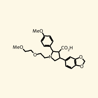 COCCOCCN1CC(c2ccc3c(c2)OCO3)C(C(=O)O)C1c1ccc(OC)cc1